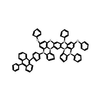 c1ccc(Oc2cc3c4c(c2)N(c2ccc(-c5c6ccccc6c(-c6ccccc6)c6ccccc56)cc2)c2ccccc2B4c2cc4c(cc2S3)N(c2ccccc2)c2cc(Oc3ccccc3)cc3c2B4c2ccccc2N3c2ccccc2)cc1